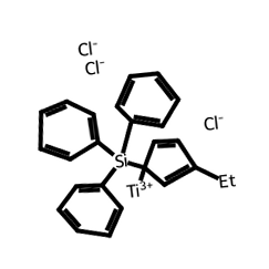 CCC1=C[C]([Ti+3])([Si](c2ccccc2)(c2ccccc2)c2ccccc2)C=C1.[Cl-].[Cl-].[Cl-]